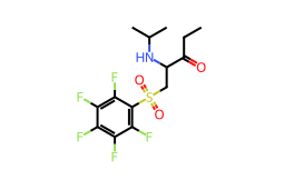 CCC(=O)C(CS(=O)(=O)c1c(F)c(F)c(F)c(F)c1F)NC(C)C